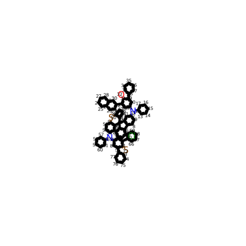 Clc1cccc2c1-c1ccc(N(c3ccccc3)c3cc(-c4ccc5ccccc5c4)c4oc5ccccc5c4c3)cc1C21c2ccccc2Sc2ccc(N(c3ccccc3)c3cc(-c4ccccc4)c4sc5ccccc5c4c3)cc21